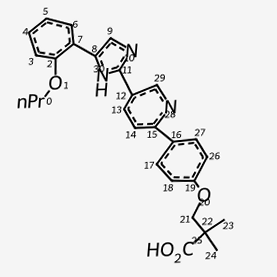 CCCOc1ccccc1-c1cnc(-c2ccc(-c3ccc(OCC(C)(C)C(=O)O)cc3)nc2)[nH]1